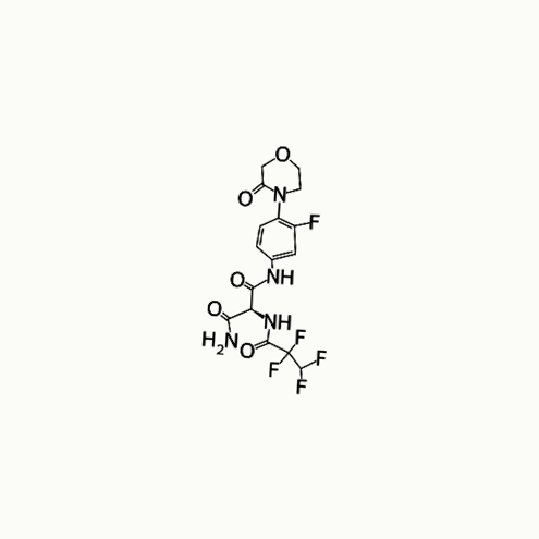 NC(=O)[C@H](NC(=O)C(F)(F)C(F)F)C(=O)Nc1ccc(N2CCOCC2=O)c(F)c1